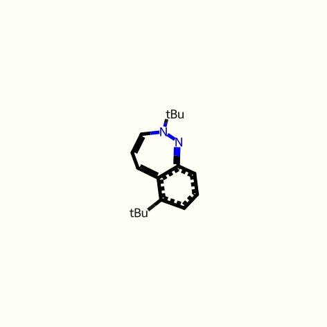 CC(C)(C)c1cccc2c1=CC=CN(C(C)(C)C)N=2